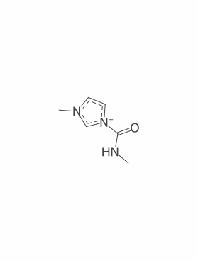 CNC(=O)[n+]1ccn(C)c1